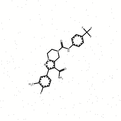 Cc1cc(-c2nn3c(c2C(N)=O)CN(C(=O)Nc2ccc(C(F)(F)F)cc2)CC3)ccc1F